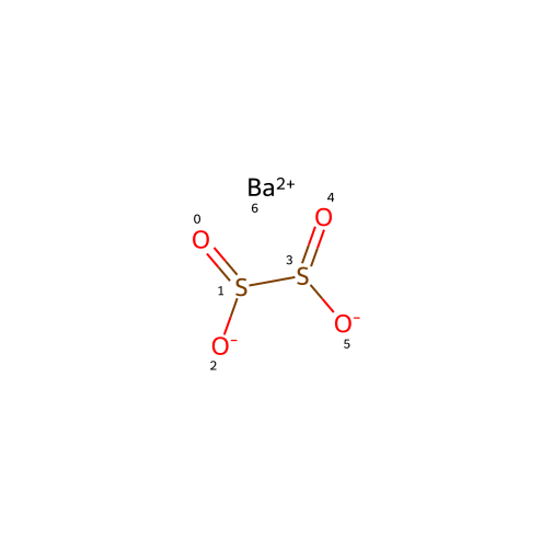 O=S([O-])S(=O)[O-].[Ba+2]